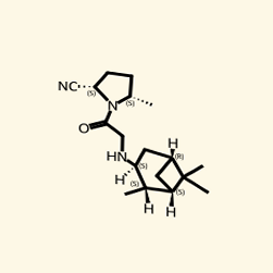 C[C@@H]1[C@@H](NCC(=O)N2[C@H](C#N)CC[C@@H]2C)C[C@H]2C[C@@H]1C2(C)C